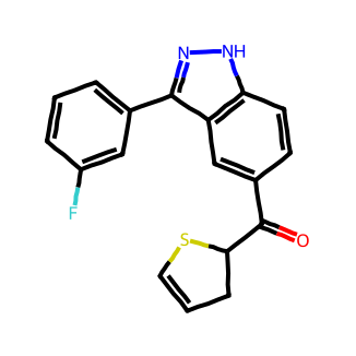 O=C(c1ccc2[nH]nc(-c3cccc(F)c3)c2c1)C1CC=CS1